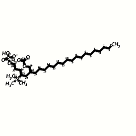 CCCCCCCCCCCCCCCCCCC(COC(C)=O)CC(CCCOP(=O)([O-])O)[N+](C)(C)C